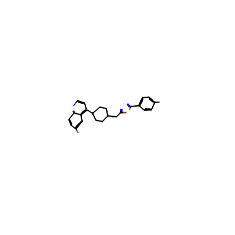 C[C@@H](c1nnc(-c2ccc(C#N)cc2)s1)C1CCC(c2ccnc3ccc(F)cc23)CC1